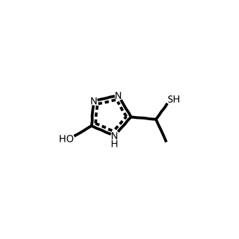 CC(S)c1nnc(O)[nH]1